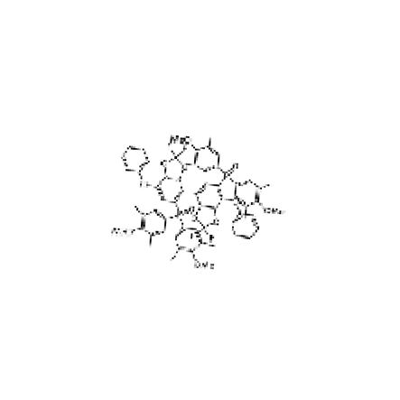 COc1c(C)cc(P(=O)(c2cc(C)c(OC)c(C)c2)c2cc(-c3c(P(=O)(c4cc(C)c(OC)c(C)c4)c4cc(C)c(OC)c(C)c4)cc(Oc4ccccc4)c4c3OC(F)(F)O4)c3c(c2Oc2ccccc2)OC(F)(F)O3)cc1C